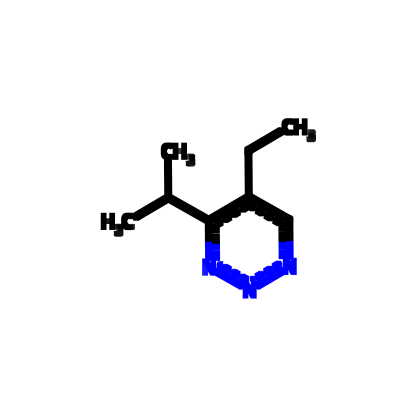 CCc1cnnnc1C(C)C